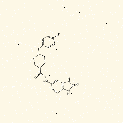 O=C(CNc1ccc2[nH]c(=O)[nH]c2c1)N1CCC(Cc2ccc(F)cc2)CC1